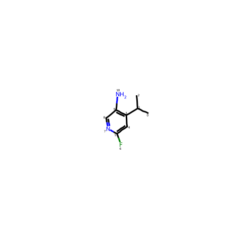 CC(C)c1cc(F)ncc1N